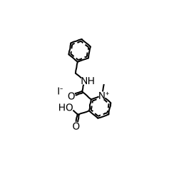 C[n+]1cccc(C(=O)O)c1C(=O)NCc1ccccc1.[I-]